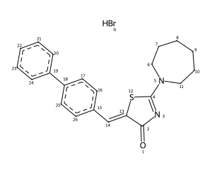 Br.O=C1N=C(N2CCCCCC2)SC1=Cc1ccc(-c2ccccc2)cc1